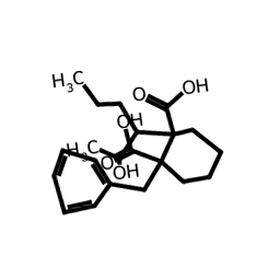 CCCC(C(C)O)C1(C(=O)O)CCCCC1(Cc1ccccc1)C(=O)O